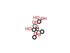 Oc1ccc([C@H]2Oc3c(c(O)cc4c3[C@H]3C[C@](c5ccccc5)(Oc5ccccc53)O4)C[C@@H]2O)cc1O